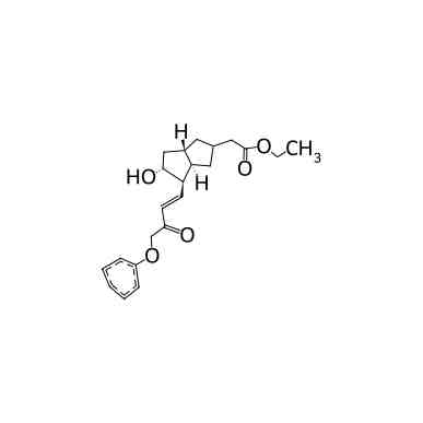 CCOC(=O)CC1C[C@H]2C[C@@H](O)[C@H](C=CC(=O)COc3ccccc3)[C@@H]2C1